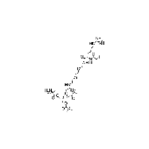 CC(C)(C)C(=O)OCC(COCC(=O)NCCOCCOCCNC(=O)[C@H](CCCCNC(=N)N)NC(=O)CI)(COC(=O)C(C)(C)C)COC(=O)C(C)(C)N